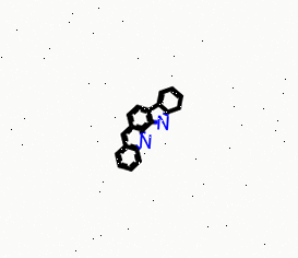 C1=CCC2=Nc3c(ccc4cc5ccccc5nc34)C2=C1